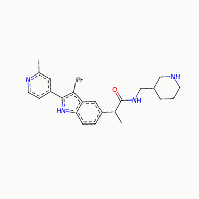 Cc1cc(-c2[nH]c3ccc(C(C)C(=O)NCC4CCCNC4)cc3c2C(C)C)ccn1